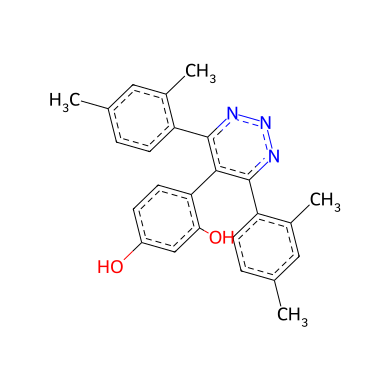 Cc1ccc(-c2nnnc(-c3ccc(C)cc3C)c2-c2ccc(O)cc2O)c(C)c1